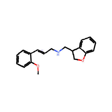 COc1ccccc1/C=C/CNCC1COc2ccccc21